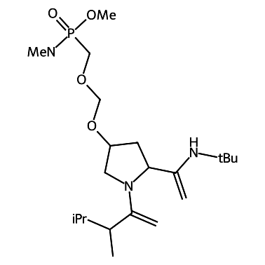 C=C(NC(C)(C)C)C1CC(OCOCP(=O)(NC)OC)CN1C(=C)C(C)C(C)C